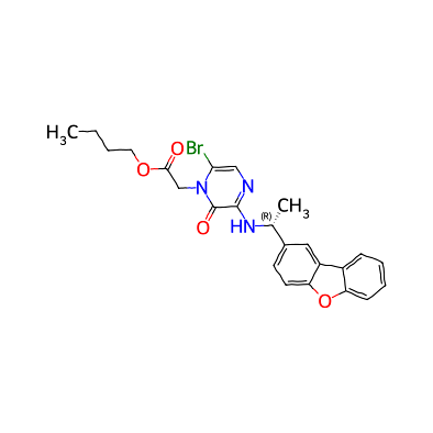 CCCCOC(=O)Cn1c(Br)cnc(N[C@H](C)c2ccc3oc4ccccc4c3c2)c1=O